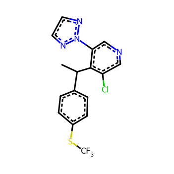 CC(c1ccc(SC(F)(F)F)cc1)c1c(Cl)cncc1-n1nccn1